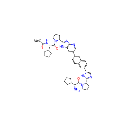 COC(=O)N[C@H](C(=O)N1CCC[C@H]1c1nc2ncc(-c3ccc4cc(-c5cnc([C@@H]6CCCN6C(=O)[C@@H](N)C6CCCC6)[nH]5)ccc4c3)cc2[nH]1)C1CCCC1